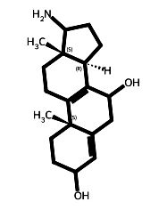 C[C@]12CCC(O)C=C1CC(O)C1=C2CC[C@]2(C)C(N)CC[C@@H]12